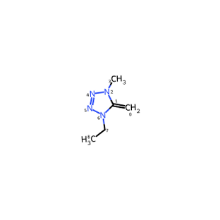 C=C1N(C)N=NN1CC